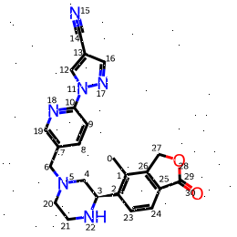 Cc1c([C@@H]2CN(Cc3ccc(-n4cc(C#N)cn4)nc3)CCN2)ccc2c1COC2=O